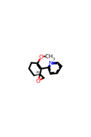 COC1=C(c2ccccn2)[C@]2(CCC1)CO2